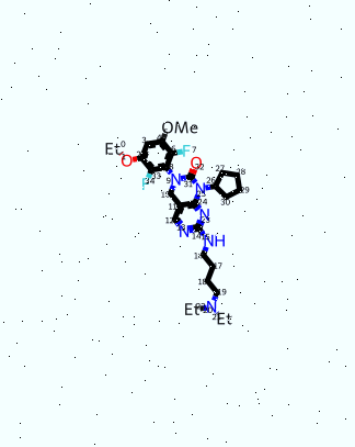 CCOc1cc(OC)c(F)c(N2Cc3cnc(NCCCCN(CC)CC)nc3N(C3CCCC3)C2=O)c1F